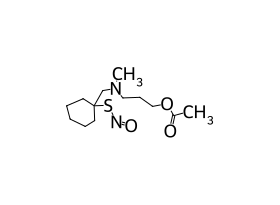 CC(=O)OCCCN(C)CC1(SN=O)CCCCC1